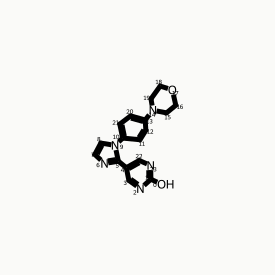 Oc1ncc(-c2nccn2-c2ccc(N3CCOCC3)cc2)cn1